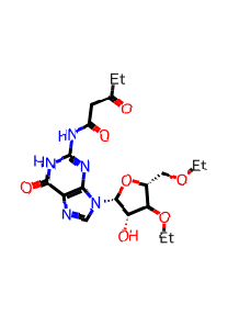 CCOC[C@H]1O[C@@H](n2cnc3c(=O)[nH]c(NC(=O)CC(=O)CC)nc32)[C@@H](O)C1OCC